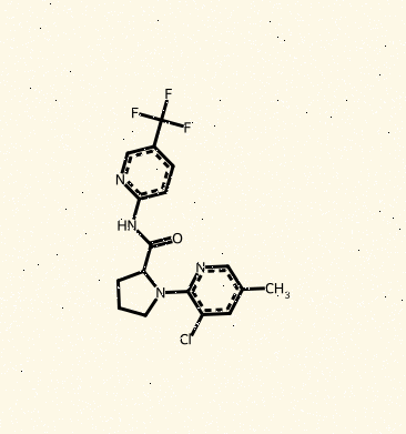 Cc1cnc(N2CCCC2C(=O)Nc2ccc(C(F)(F)F)cn2)c(Cl)c1